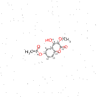 COc1c(O)c2cc(OC(C)=O)ccc2oc1=O